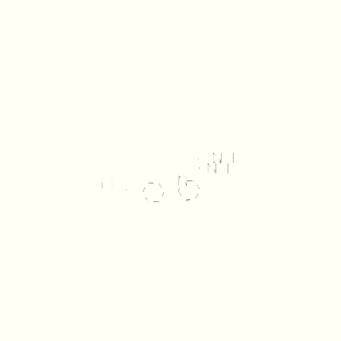 CCCOc1ccc(-c2cccc(C(=O)NN)n2)cc1